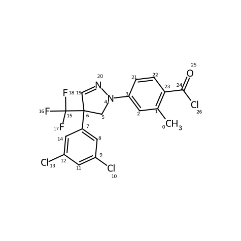 Cc1cc(N2CC(c3cc(Cl)cc(Cl)c3)(C(F)(F)F)C=N2)ccc1C(=O)Cl